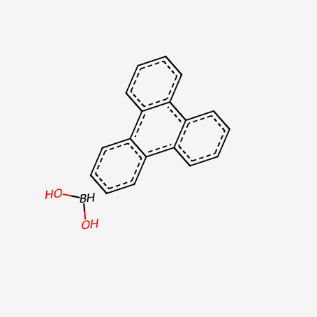 OBO.c1ccc2c(c1)c1ccccc1c1ccccc21